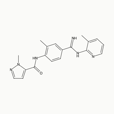 Cc1cc(C(=N)Nc2ncccc2C)ccc1NC(=O)c1ccnn1C